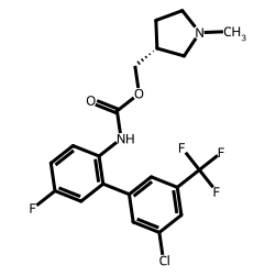 CN1CC[C@@H](COC(=O)Nc2ccc(F)cc2-c2cc(Cl)cc(C(F)(F)F)c2)C1